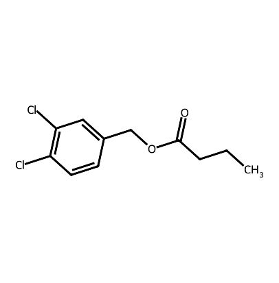 CCCC(=O)OCc1ccc(Cl)c(Cl)c1